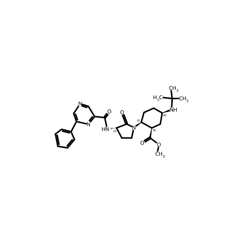 COC(=O)[C@@H]1C[C@H](NC(C)(C)C)CC[C@@H]1N1CC[C@H](NC(=O)c2cncc(-c3ccccc3)n2)C1=O